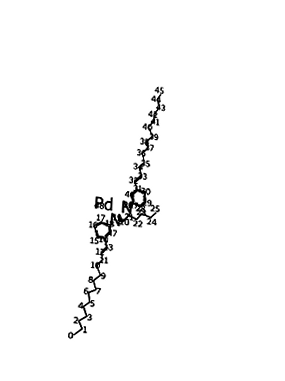 CCCCCCCCCCCCC=Cc1cccc(N=CC(CCCC)=Nc2cccc(C=CCCCCCCCCCCCC)c2)c1.[Pd]